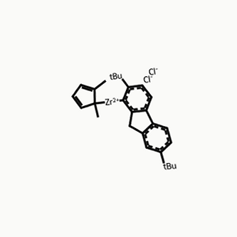 CC1=CC=C[C]1(C)[Zr+2][c]1c(C(C)(C)C)ccc2c1Cc1cc(C(C)(C)C)ccc1-2.[Cl-].[Cl-]